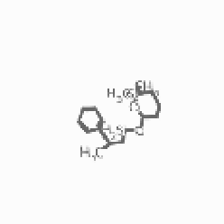 CC(C[SiH2]OC1CCC[Si](C)(C)O1)c1ccccc1